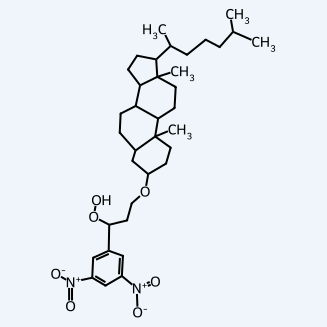 CC(C)CCCC(C)C1CCC2C3CCC4CC(OCCC(OO)c5cc([N+](=O)[O-])cc([N+](=O)[O-])c5)CCC4(C)C3CCC12C